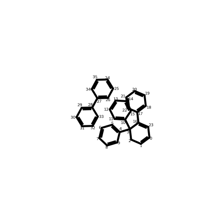 C1=CCC(c2ccccc2)(c2ccccc2)C(c2ccccc2)=C1.c1ccc(-c2ccccc2)cc1